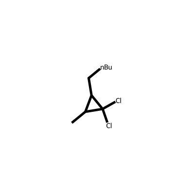 CCCCCC1C(C)C1(Cl)Cl